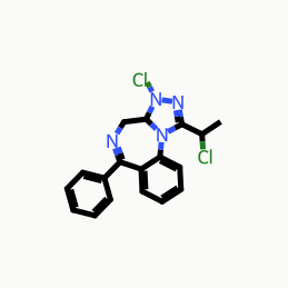 CC(Cl)C1=NN(Cl)C2CN=C(c3ccccc3)c3ccccc3N12